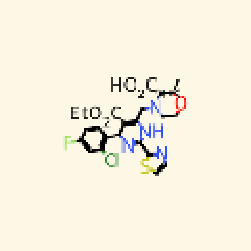 CCOC(=O)C1=C(CN2CCO[C@H](C)[C@H]2C(=O)O)NC(c2nccs2)=NC1c1ccc(F)cc1Cl